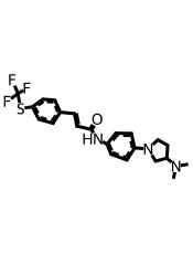 CN(C)C1CCN(c2ccc(NC(=O)/C=C/c3ccc(SC(F)(F)F)cc3)cc2)C1